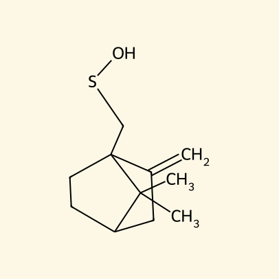 C=C1CC2CCC1(CSO)C2(C)C